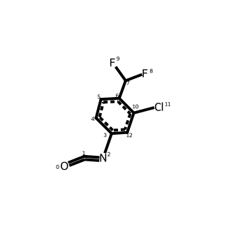 O=C=Nc1ccc(C(F)F)c(Cl)c1